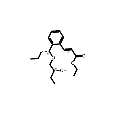 CCC[C@@H](OC[C@H](O)CC)c1ccccc1/C=C/C(=O)OCC